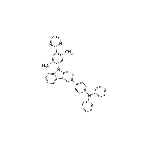 Cc1cc(-n2c3ccccc3c3cc(-c4ccc(N(c5ccccc5)c5ccccc5)cc4)ccc32)c(C)cc1-c1ncccn1